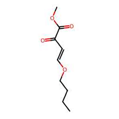 CCCCOC=CC(=O)C(=O)OC